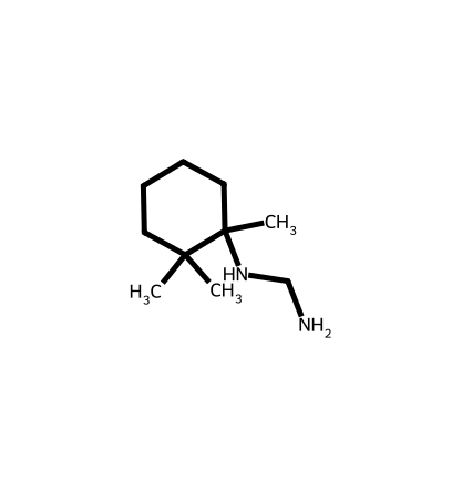 CC1(C)CCCCC1(C)NCN